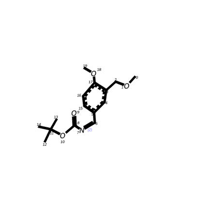 COCc1cc(/C=N\C(=O)OC(C)(C)C)ccc1OC